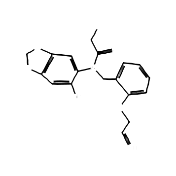 C=CCOc1ccccc1CN(C(=O)CCl)c1cc2c(cc1C(C)C)OCO2